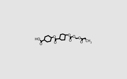 C=CC(=O)OCOC(=O)OC1CCC(C(=O)OC2CCC(C(=O)O)CC2)CC1